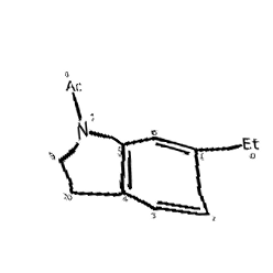 CCc1ccc2c(c1)N(C(C)=O)CC2